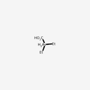 CC[AsH2](CC)C(=O)O